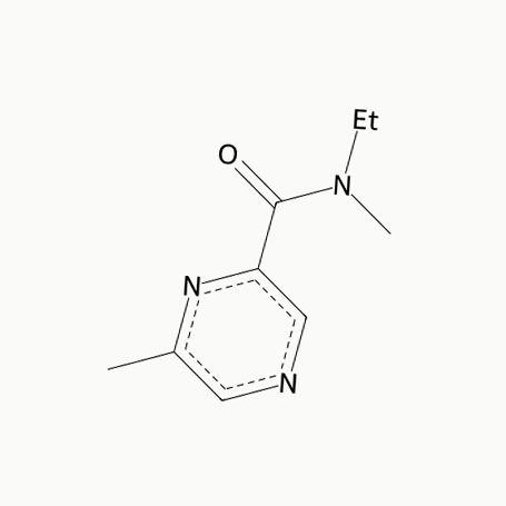 CCN(C)C(=O)c1cncc(C)n1